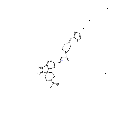 CC(=O)N1CCC2(CC1)C(=O)Nc1ncc(/C=C/C(=O)N3CCC(=Cc4nccs4)CC3)cc12